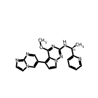 COc1nc(N[C@@H](C)c2ccccn2)nn2ccc(-c3cnc4nccn4c3)c12